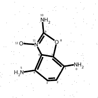 Nc1ccc(N)c2c1oc(N)[n+]2[O-]